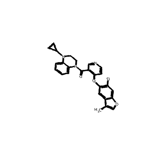 Cc1coc2cc(Cl)c(Oc3ccncc3C(=O)N3CCN(C4CC4)c4ccccc43)cc12